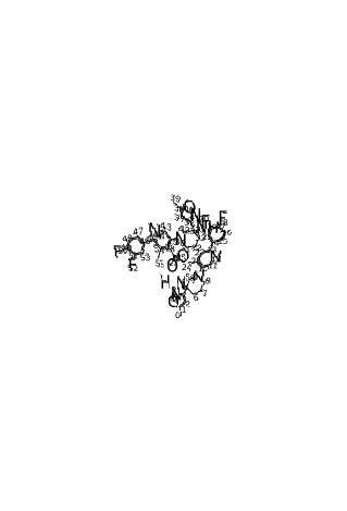 Cc1cc(C2(N)CCCN(c3cnc(-c4ccc(F)c(F)c4)cc3COC(=O)c3c(N4CCCC(N)(c5cc(C)on5)C4)cnc(-c4ccc(F)c(F)c4)c3C)C2)no1